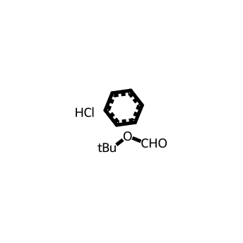 CC(C)(C)OC=O.Cl.c1ccccc1